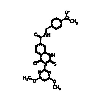 COc1cc(OC)nc(-n2c(=S)[nH]c3cc(C(=O)NCc4ccc([S+](C)[O-])cc4)ccc3c2=O)n1